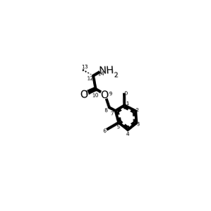 Cc1cccc(C)c1COC(=O)[C@H](C)N